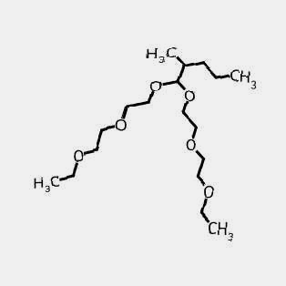 CCCC(C)C(OCCOCCOCC)OCCOCCOCC